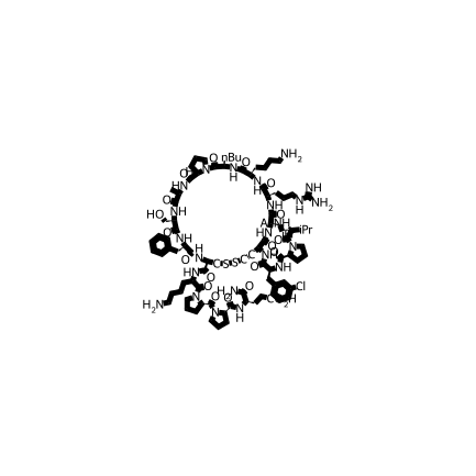 CCCC[C@@H]1NC(=O)[C@H](CCCCN)NC(=O)[C@H](CCCNC(=N)N)NC(=O)[C@H](CC(C)C)NC(=O)C(NC(=O)[C@H](Cc2cccc(Cl)c2)NC(=O)[C@@H]2CCCN2C(=O)[C@@H](NC(C)=O)C(C)C)CCSSC[C@@H](C(=O)NC(CCCCN)C(=O)N2CCC[C@H]2C(=O)N2CCC[C@H]2C(=O)N[C@@H](CCC(=O)O)C(N)=O)NC(=O)[C@H](Cc2ccccc2)NC(=O)[C@H](CO)NC(=O)C(C)NC(=O)[C@@H]2CCCN2C1=O